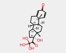 C[C@]12C=CC(=O)C=C1CC[C@@H]1[C@@H]2CC[C@@]2(C)[C@H]1CC[C@]2(O)C(=O)C(O)(O)O